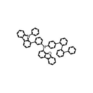 c1ccc(-c2ccccc2-c2ccccc2-c2ccc(N(c3cccc(-c4cccc5c6ccccc6n(-c6ccccc6)c45)c3)c3cccc4c3oc3ccccc34)cc2)cc1